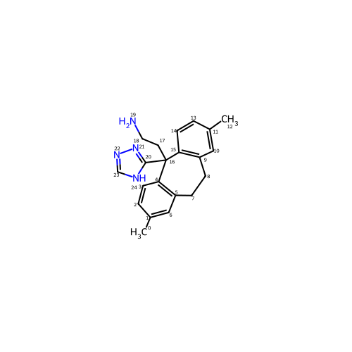 Cc1ccc2c(c1)CCc1cc(C)ccc1C2(CCN)c1nnc[nH]1